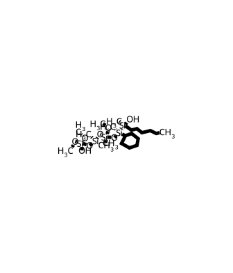 CCCCCC[Si](C)(O)[Si](C)(O[Si](C)(OC)O[Si](C)(C)O[Si](O)(OC)OC)C1CCCCC1